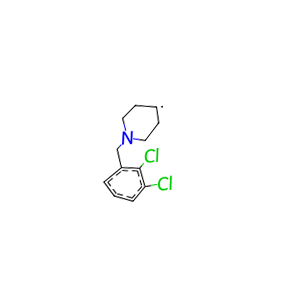 Clc1cccc(CN2CC[CH]CC2)c1Cl